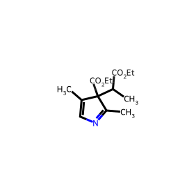 CCOC(=O)C(C)C1(C(=O)OCC)C(C)=CN=C1C